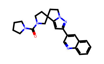 O=C(N1CCCC1)N1CCC2(CCn3nc(-c4cnc5ccccc5c4)cc32)C1